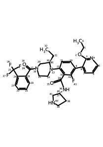 CCOc1ncccc1-c1ccc(N2CCN(C(=O)c3ccccc3C(F)(F)F)C[C@H]2CC)c(C(=O)N[C@@H]2CCNC2)c1F